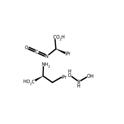 CC(C)C[C@H](N)C(=O)O.CC(C)[C@@H](N=C=O)C(=O)O.OBO